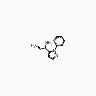 C=CC(N)c1ccnn1-c1ccccn1